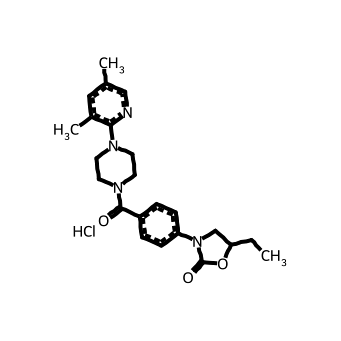 CCC1CN(c2ccc(C(=O)N3CCN(c4ncc(C)cc4C)CC3)cc2)C(=O)O1.Cl